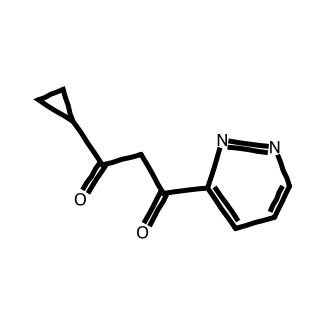 O=C(CC(=O)C1CC1)c1cccnn1